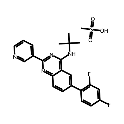 CC(C)(C)Nc1nc(-c2cccnc2)nc2ccc(-c3ccc(F)cc3F)cc12.CS(=O)(=O)O